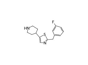 Fc1cccc(Cc2ncc(C3CCNCC3)s2)c1